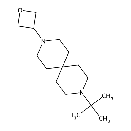 CC(C)(C)N1CCC2(CCN(C3COC3)CC2)CC1